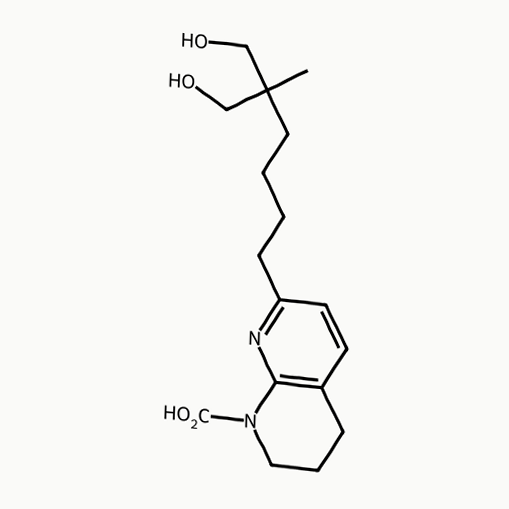 CC(CO)(CO)CCCCc1ccc2c(n1)N(C(=O)O)CCC2